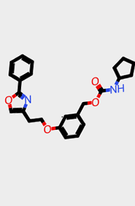 O=C(NC1CCCC1)OCc1[c]c(OCCc2coc(-c3ccccc3)n2)ccc1